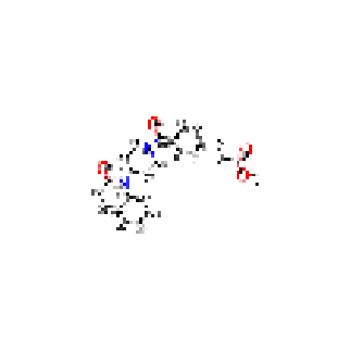 COC(=O)CCc1ccc(C(=O)N2CCC(N3C(=O)CCc4ccccc43)CC2)cc1